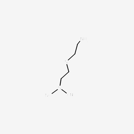 N#CN(C#N)CCNCCN